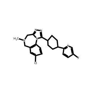 CN1Cc2cc(Cl)ccc2-n2c(nnc2C2CCC(c3ccc(F)cn3)CC2)C1